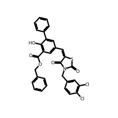 O=C(OCc1ccccc1)c1cc(C=C2SC(=O)N(Cc3ccc(Cl)c(Cl)c3)C2=O)cc(-c2ccccc2)c1O